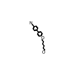 N#Cc1ccc(-c2ccc(OCCCCCC=O)cc2)cc1